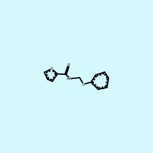 O=C(NCOc1ccccc1)c1ccco1